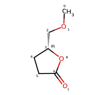 COC[C@H]1CCC(=O)O1